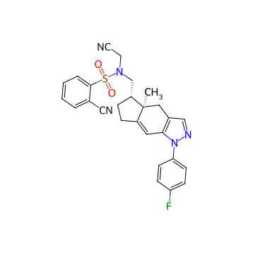 C[C@]12Cc3cnn(-c4ccc(F)cc4)c3C=C1CC[C@@H]2CN(CC#N)S(=O)(=O)c1ccccc1C#N